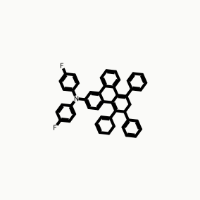 Fc1ccc(N(c2ccc(F)cc2)c2ccc3c4c(c5ccccc5c3c2)=C(c2ccccc2)CC(c2ccccc2)C=4C2=CC=CCC2)cc1